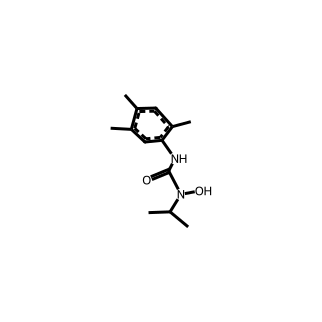 Cc1cc(C)c(NC(=O)N(O)C(C)C)cc1C